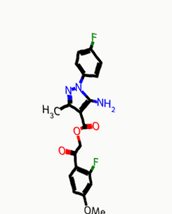 COc1ccc(C(=O)COC(=O)c2c(C)nn(-c3ccc(F)cc3)c2N)c(F)c1